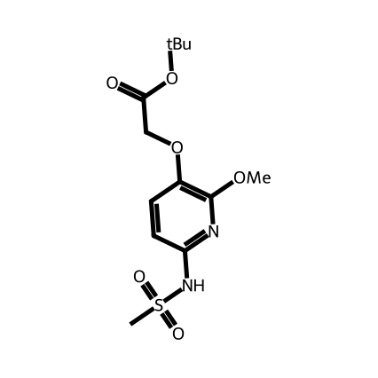 COc1nc(NS(C)(=O)=O)ccc1OCC(=O)OC(C)(C)C